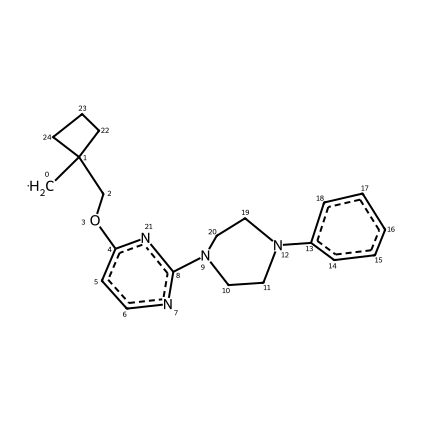 [CH2]C1(COc2ccnc(N3CCN(c4ccccc4)CC3)n2)CCC1